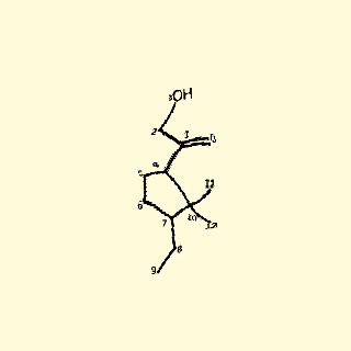 C=C(CO)C1CCC(CC)C1(C)C